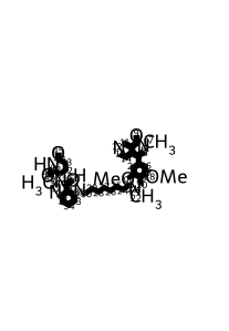 COc1cc(-c2cn(C)c(=O)c3cnccc23)cc(OC)c1CN(C)CCCCCCCCNc1cccc2nc(C)n(C3CCC(=O)NC3=O)c(=O)c12